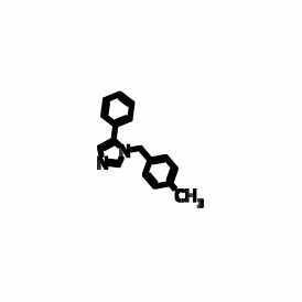 Cc1ccc(Cn2cncc2-c2ccccc2)cc1